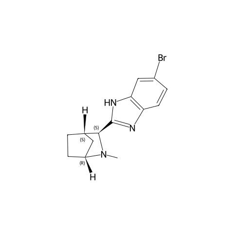 CN1[C@@H]2CC[C@@H](C2)[C@H]1c1nc2ccc(Br)cc2[nH]1